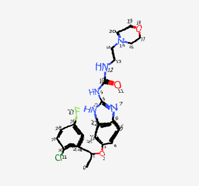 CC(Oc1ccc2nc(NC(=O)NCCN3CCOCC3)[nH]c2c1)c1cc(F)ccc1Cl